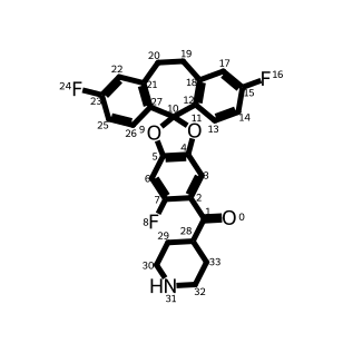 O=C(c1cc2c(cc1F)OC1(O2)c2ccc(F)cc2CCc2cc(F)ccc21)C1CCNCC1